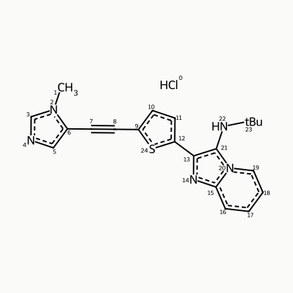 Cl.Cn1cncc1C#Cc1ccc(-c2nc3ccccn3c2NC(C)(C)C)s1